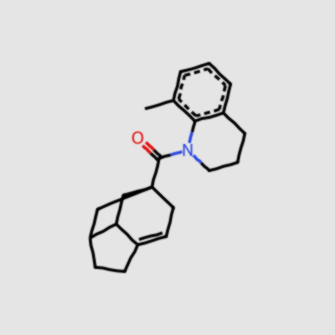 Cc1cccc2c1N(C(=O)C13CC=C4CCC(C1)C4C3)CCC2